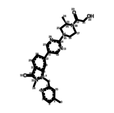 Cc1ccnc(Cn2c3cc(-c4cnc(N5CCN(C(=O)CO)[C@H](C)C5)nc4)ccc3c(=O)n2C)c1